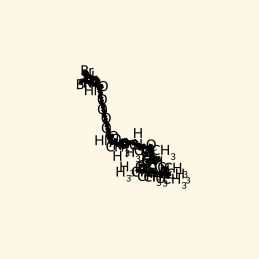 CC[C@H](C)[C@@H]([C@@H](CC(=O)N1CCC[C@H]1[C@H](OC)[C@@H](C)C(=O)NCC(=O)NOCc1ccc(NC(=O)[C@@H](C)NC(=O)CCOCCOCCOCCOCCNC(=O)c2ccc3nc(CBr)c(CBr)nc3c2)cc1)OC)N(C)C(=O)CNC(=O)C(C(C)C)N(C)C